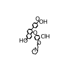 Cl.O=C(O)c1ccc(-c2ccc3cc(O)ccc3c2Oc2ccc(OCCN3CCCCC3)cc2)cc1